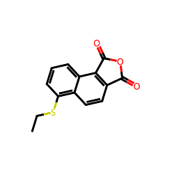 CCSc1cccc2c3c(ccc12)C(=O)OC3=O